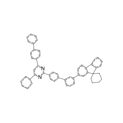 c1ccc(-c2ccc(-c3cc(-c4ccccc4)nc(-c4ccc(-c5cccc(-c6ccc7c(c6)C6(CCCCC6)c6ccccc6-7)c5)cc4)n3)cc2)cc1